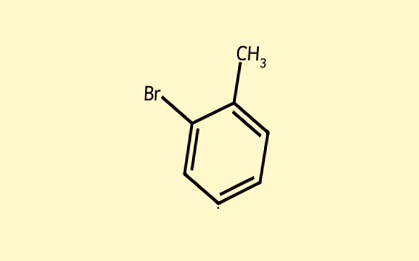 Cc1cc[c]cc1Br